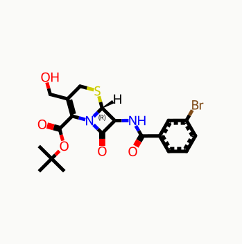 CC(C)(C)OC(=O)C1=C(CO)CS[C@@H]2C(NC(=O)c3cccc(Br)c3)C(=O)N12